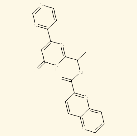 CC(NC(=O)c1ccc2ncccc2n1)c1nc(-c2ccncn2)cc(=O)[nH]1